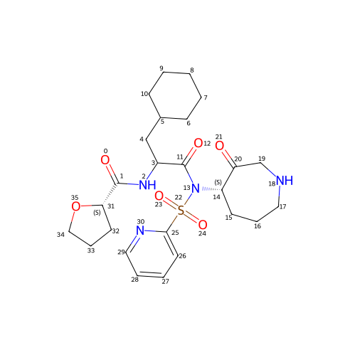 O=C(NC(CC1CCCCC1)C(=O)N([C@H]1CCCNCC1=O)S(=O)(=O)c1ccccn1)[C@@H]1CCCO1